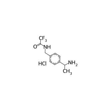 CC(N)c1ccc(CNC(=O)C(F)(F)F)cc1.Cl